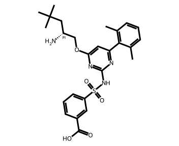 Cc1cccc(C)c1-c1cc(OC[C@H](N)CC(C)(C)C)nc(NS(=O)(=O)c2cccc(C(=O)O)c2)n1